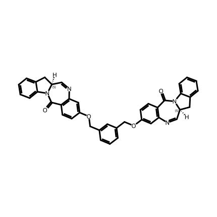 O=C1c2ccc(OCc3cccc(COc4ccc5c(c4)N=C[C@@H]4Cc6ccccc6N4C5=O)c3)cc2N=C[C@@H]2Cc3ccccc3N12